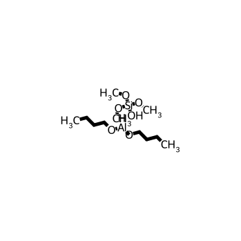 CCCC[O][AlH][O]CCCC.CO[Si](O)(OC)OC